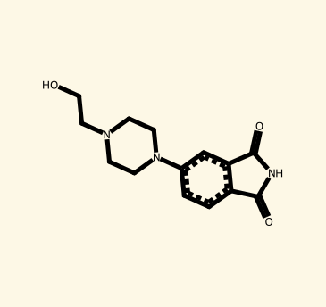 O=C1NC(=O)c2cc(N3CCN(CCO)CC3)ccc21